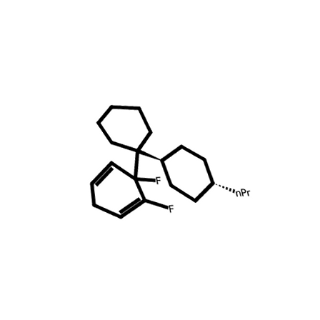 CCC[C@H]1CC[C@H](C2(C3(F)C=CCC=C3F)CCCCC2)CC1